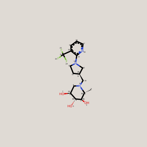 C[C@@H]1[C@@H](O)[C@H](O)[C@@H](O)CN1C[C@H]1CCN(c2ncccc2C(F)(F)F)C1